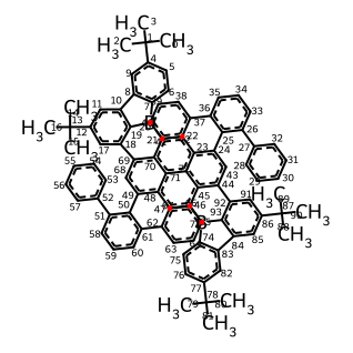 CC(C)(C)c1ccc2c(c1)-c1cc(C(C)(C)C)cc3c1B2c1cc2c(-c4c(-c5ccccc5)cccc4-c4ccccc4)cc4c5c(cc6c(-c7c(-c8ccccc8)cccc7-c7ccccc7)cc-3c1c6c25)B1c2ccc(C(C)(C)C)cc2-c2cc(C(C)(C)C)cc-4c21